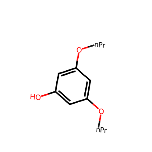 CCCOc1cc(O)cc(OCCC)c1